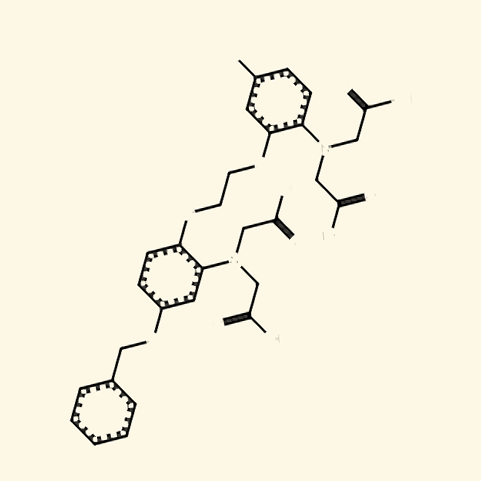 Cc1ccc(N(CC(=O)O)CC(=O)O)c(OCCOc2ccc(OCc3ccccc3)cc2N(CC(=O)O)CC(=O)O)c1